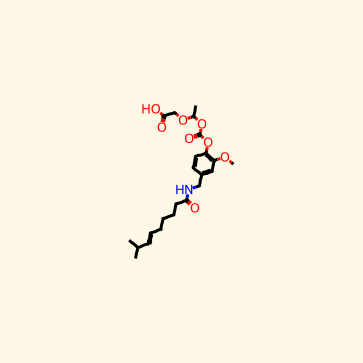 COc1cc(CNC(=O)CCCC/C=C/C(C)C)ccc1OC(=O)OC(C)OCC(=O)O